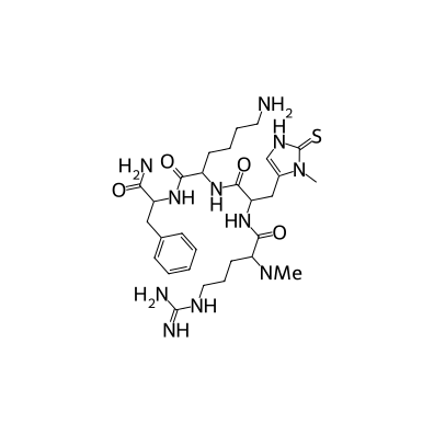 CNC(CCCNC(=N)N)C(=O)NC(Cc1c[nH]c(=S)n1C)C(=O)NC(CCCCN)C(=O)NC(Cc1ccccc1)C(N)=O